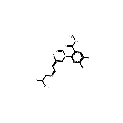 CNC(=O)c1cc(F)c(Cl)nc1N(C=O)C/C(C)=C\C=N/CC(C)C